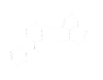 CN1N=C(N)c2c(cccc2OC[C@H]2CCCN(C(=O)c3ccccn3)C2)N1